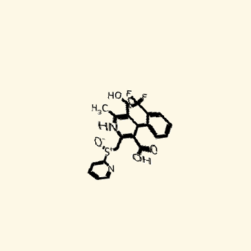 CC1=C(C(=O)O)C(c2ccccc2C(F)(F)F)C(C(=O)O)=C(C[S+]([O-])c2ccccn2)N1